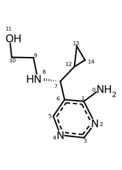 Nc1ncncc1[C@H](NCCO)C1CC1